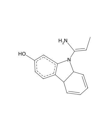 C/C=C(\N)N1c2cc(O)ccc2C2C=CC=CC21